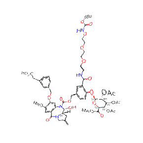 C=C1C[C@H]2C(O)N(C(=O)OCc3ccc(O[C@@H]4O[C@H](C(=O)OC)[C@@H](OC(C)=O)[C@H](OC(C)=O)[C@H]4OC(C)=O)c(C(=O)NCCOCCOCCONC(=O)OC(C)(C)C)c3)c3cc(OCc4cccc(CC(=O)O)c4)c(OC)cc3C(=O)N2C1